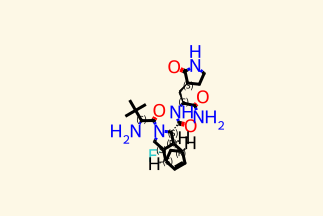 CC(C)(C)[C@H](N)C(=O)N1C[C@@]2(F)[C@@H]([C@H]1C(=O)N[C@@H](C[C@@H]1CCNC1=O)C(N)=O)[C@H]1C=C[C@@H]2C1